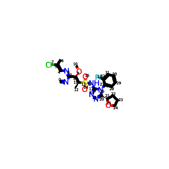 C=N/C(=N\C=C(/C)Cl)[C@@H](OC)[C@H](C)S(=O)(=O)Nc1nnc([C@@H]2CCCO2)n1-c1ccccc1F